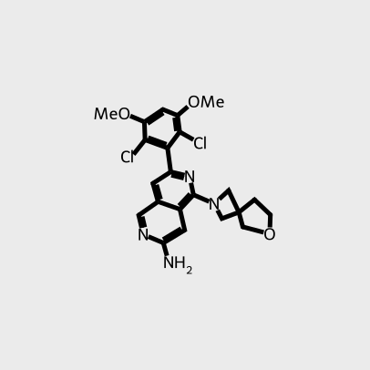 COc1cc(OC)c(Cl)c(-c2cc3cnc(N)cc3c(N3CC4(CCOC4)C3)n2)c1Cl